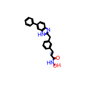 O=C(/C=C/c1cccc(Cc2nc3ccc(-c4ccccc4)cc3[nH]2)c1)NO